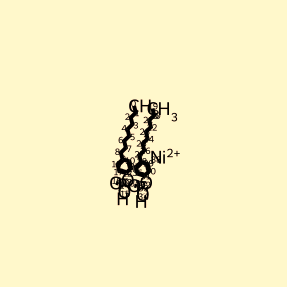 CCCCCCCCCc1ccc(O[PH](=O)[O-])cc1.CCCCCCCCCc1ccc(O[PH](=O)[O-])cc1.[Ni+2]